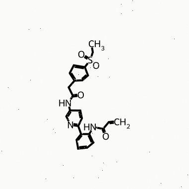 C=CC(=O)Nc1ccccc1-c1ccc(NC(=O)Cc2ccc(S(=O)(=O)CC)cc2)cn1